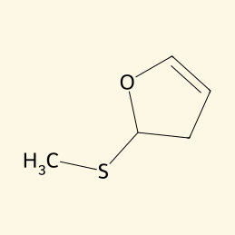 CSC1CC=CO1